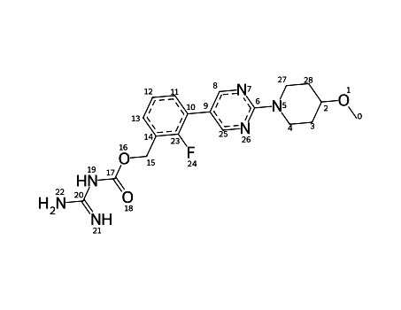 COC1CCN(c2ncc(-c3cccc(COC(=O)NC(=N)N)c3F)cn2)CC1